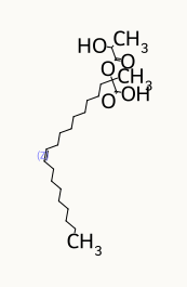 CCCCCCCC/C=C\CCCCCCCCC(C)(OC(=O)C(C)O)C(=O)O